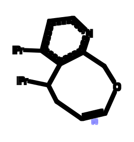 CC(C)c1ccnc2c1C(C(C)C)C/C=C\OC2